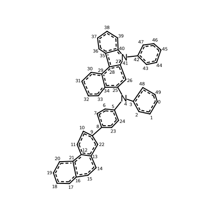 c1ccc(N(c2ccc(-c3ccc4c(ccc5ccccc54)c3)cc2)c2cc3c(c4ccccc24)c2ccccc2n3-c2ccccc2)cc1